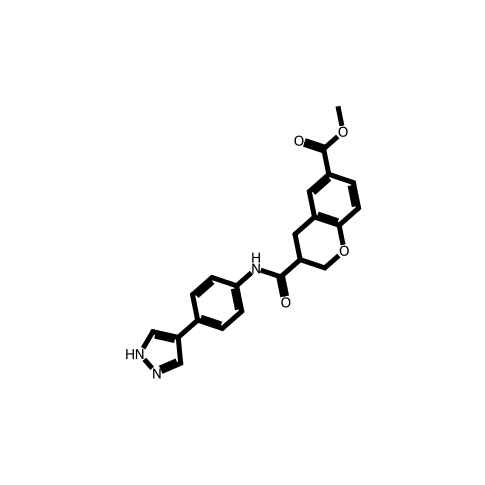 COC(=O)c1ccc2c(c1)CC(C(=O)Nc1ccc(-c3cn[nH]c3)cc1)CO2